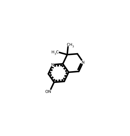 CC1(C)CN=Cc2cc(N=O)cnc21